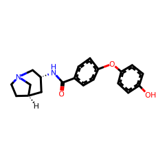 O=C(N[C@@H]1C[C@H]2CCN(C2)C1)c1ccc(Oc2ccc(O)cc2)cc1